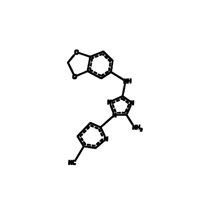 N#Cc1ccc(-n2nc(Nc3ccc4c(c3)OCO4)nc2N)nc1